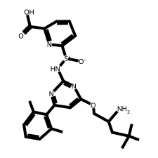 Cc1cccc(C)c1-c1cc(OCC(N)CC(C)(C)C)nc(N[S+]([O-])c2cccc(C(=O)O)n2)n1